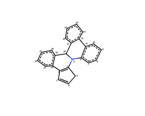 C1=CC2=C(C1)N1c3ccccc3-c3ccccc3C1c1ccccc12